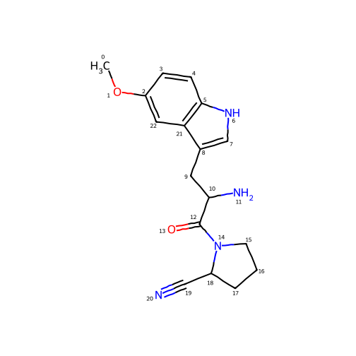 COc1ccc2[nH]cc(CC(N)C(=O)N3CCCC3C#N)c2c1